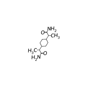 CC(C(N)=O)C1CCC(C(C)C(N)=O)CC1